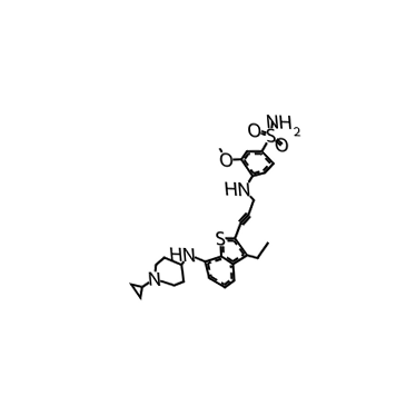 CCc1c(C#CCNc2ccc(S(N)(=O)=O)cc2OC)sc2c(NC3CCN(C4CC4)CC3)cccc12